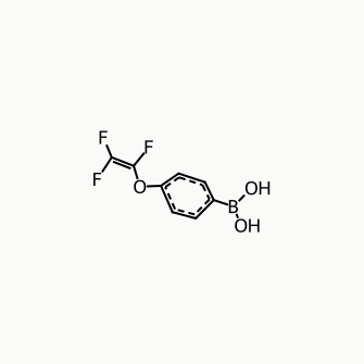 OB(O)c1ccc(OC(F)=C(F)F)cc1